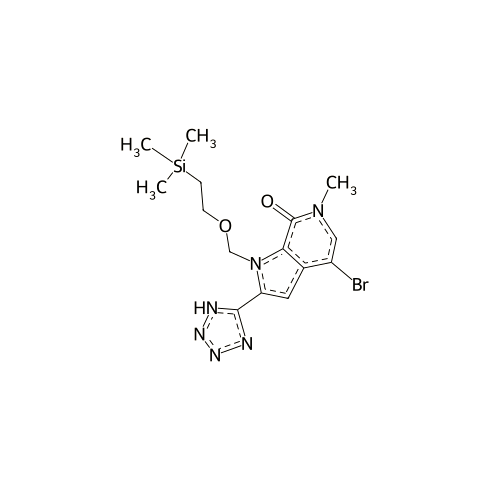 Cn1cc(Br)c2cc(-c3nnn[nH]3)n(COCC[Si](C)(C)C)c2c1=O